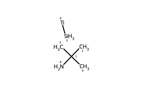 CC(C)(C)N.[SiH3][Ti]